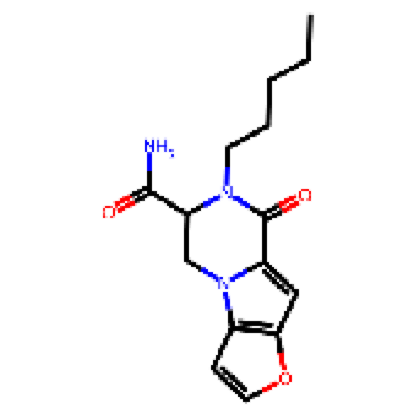 CCCCCN1C(=O)c2cc3occc3n2CC1C(N)=O